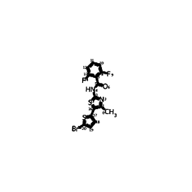 Cc1nc(NC(=O)c2c(F)cccc2F)sc1-c1ccc(Br)s1